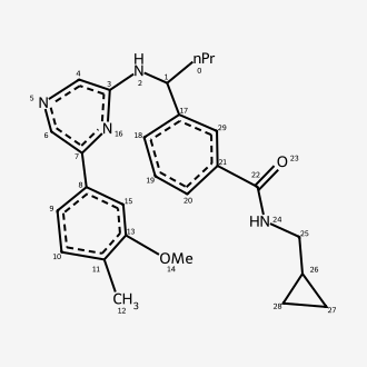 CCCC(Nc1cncc(-c2ccc(C)c(OC)c2)n1)c1cccc(C(=O)NCC2CC2)c1